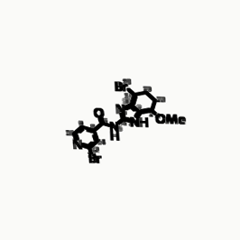 COC1=c2[nH]c(NC(=O)c3ccnc(Br)c3)nc2=C(Br)CC1